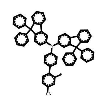 N#Cc1ccc(-c2ccc(N(c3ccc4c(c3)-c3ccccc3C4(c3ccccc3)c3ccccc3)c3ccc4c(c3)C(c3ccccc3)(c3ccccc3)c3ccccc3-4)cc2)c(F)c1